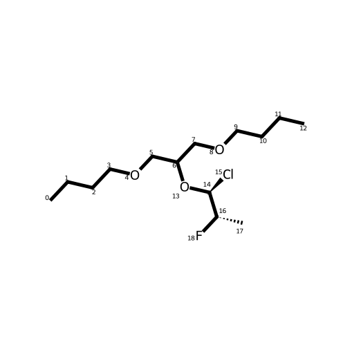 CCCCOCC(COCCCC)O[C@@H](Cl)[C@H](C)F